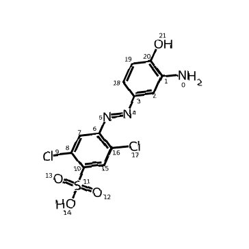 Nc1cc(N=Nc2cc(Cl)c(S(=O)(=O)O)cc2Cl)ccc1O